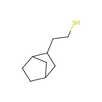 SCCC1CC2CCC1C2